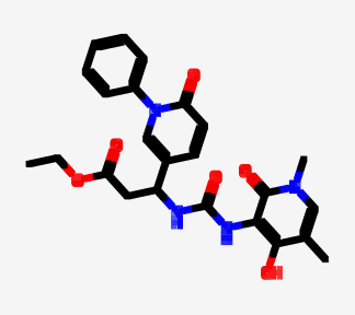 CCOC(=O)CC(NC(=O)Nc1c(O)c(C)cn(C)c1=O)c1ccc(=O)n(-c2ccccc2)c1